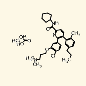 CCCc1ccc(C)c(-c2ccc(C(=O)NC3CCCCC3)nc2-c2ccc(Cl)c(OCCCN(C)C)c2)c1.Cl.O=C(O)O